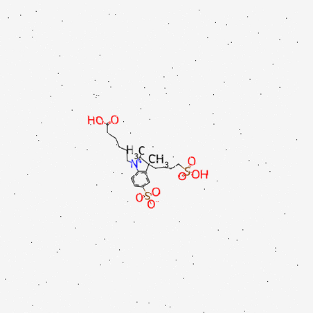 CC1=[N+](CCCCCC(=O)O)c2ccc(S(=O)(=O)[O-])cc2C1(C)CCCCS(=O)(=O)O